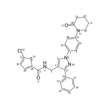 O=C(NCc1cn(-c2ccc(N3CCCCC3=O)cc2)nc1-c1ccccc1)c1ccc(Cl)s1